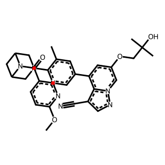 COc1ccc(C(=O)N2C3CC2CN(c2ncc(-c4cc(OCC(C)(C)O)cn5ncc(C#N)c45)cc2C)C3)cn1